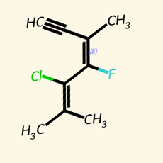 C#C/C(C)=C(/F)C(Cl)=C(C)C